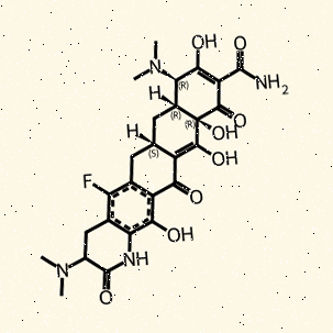 CN(C)C1Cc2c(F)c3c(c(O)c2NC1=O)C(=O)C1=C(O)[C@@]2(O)C(=O)C(C(N)=O)=C(O)[C@H](N(C)C)[C@H]2C[C@H]1C3